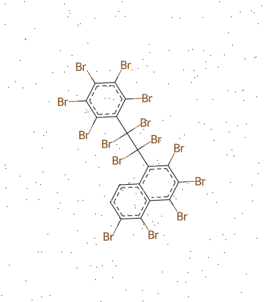 Brc1ccc2c(C(Br)(Br)C(Br)(Br)c3c(Br)c(Br)c(Br)c(Br)c3Br)c(Br)c(Br)c(Br)c2c1Br